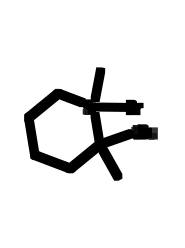 CC(C)(C)C1(C)CCCC[Si]1(C)Br